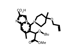 C=CCOC1(C)CCN(c2c(C(OC(C)(C)C)C(=O)OC)c(C)cc3nc(C(=O)O)cn23)CC1